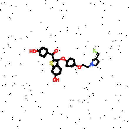 O=C(c1ccc(O)cc1)c1sc2cc(O)ccc2c1Oc1ccc(OCCN2CC[C@H](CF)C2)cc1